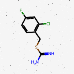 N=C(N)SCc1ccc(F)cc1Cl